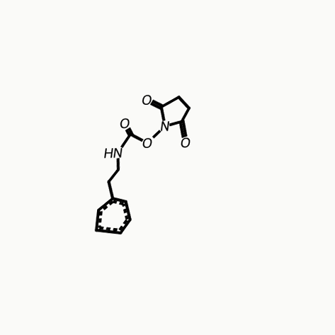 O=C(NCCc1ccccc1)ON1C(=O)CCC1=O